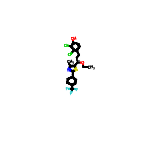 CCO[C@H](CCc1ccc(O)c(Cl)c1Cl)c1sc(-c2ccc(C(F)(F)F)cc2)nc1C